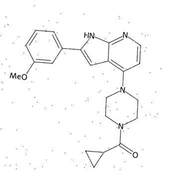 COc1cccc(-c2cc3c(N4CCN(C(=O)C5CC5)CC4)ccnc3[nH]2)c1